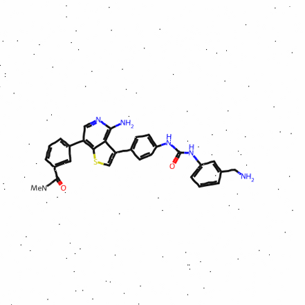 CNC(=O)c1cccc(-c2cnc(N)c3c(-c4ccc(NC(=O)Nc5cccc(CN)c5)cc4)csc23)c1